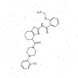 CCOc1ccccc1C(=O)Nc1nc2c(s1)CCCC2C(=O)N1CCN(c2ccccc2Cl)CC1